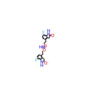 O=C1Cc2c(CCONOCCc3ccc(F)c4c3CC(=O)N4)ccc(F)c2N1